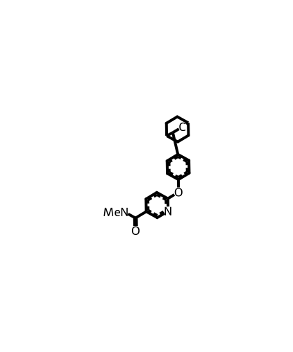 CNC(=O)c1ccc(Oc2ccc(C3CC4CCC3CC4)cc2)nc1